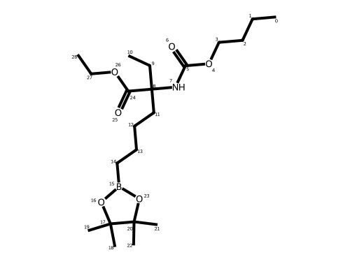 CCCCOC(=O)NC(CC)(CCCCB1OC(C)(C)C(C)(C)O1)C(=O)OCC